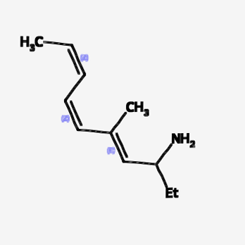 C\C=C/C=C\C(C)=C\C(N)CC